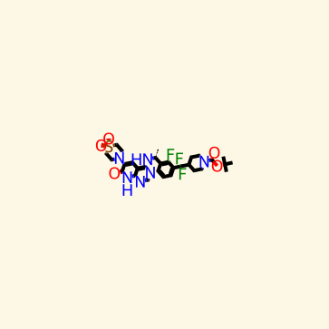 C[C@@H](Nc1ncnc2[nH]c(=O)c(N3CCS(=O)(=O)CC3)cc12)c1cccc(C(F)(F)C2CCN(C(=O)OC(C)(C)C)CC2)c1F